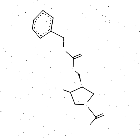 O=C(NC[C@H]1CN(C(=O)O)CC1O)OCc1ccccc1